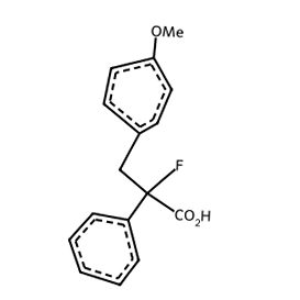 COc1ccc(CC(F)(C(=O)O)c2ccccc2)cc1